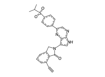 C#Cc1cccc2c1C(=O)N(c1c[nH]c3ncc(-c4ccc(S(=O)(=O)C(C)C)cc4)nc13)C2